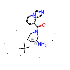 CC(C)(C)C[C@@H]1CCN(C(=O)c2cccn3cncc23)C[C@H]1N